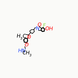 CCC(Oc1cccc(OCCNC)c1)C1CCC(CN2Cc3ccc(O)c(F)c3C2=O)CC1